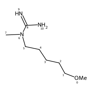 COCCCCCN(C)C(=N)N